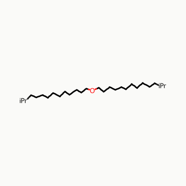 CC(C)CCCCCCCCCCCOCCCCCCCCCCCC(C)C